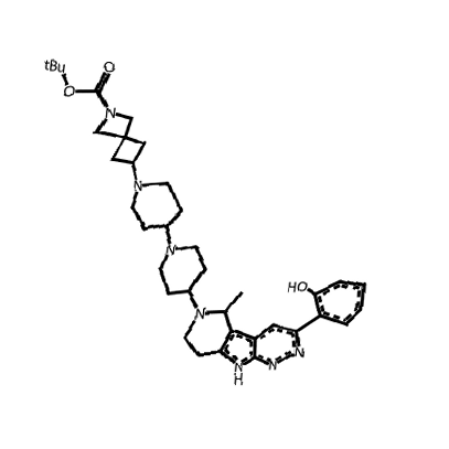 CC1c2c([nH]c3nnc(-c4ccccc4O)cc23)CCN1C1CCN(C2CCN(C3CC4(C3)CN(C(=O)OC(C)(C)C)C4)CC2)CC1